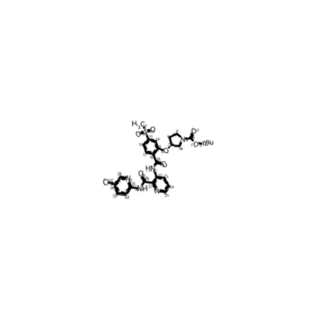 CC(C)(C)OC(=O)N1CC[C@H](Oc2cc(S(C)(=O)=O)ccc2C(=O)Nc2cccnc2C(=O)Nc2ccc(Cl)cn2)C1